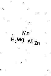 [Al].[MgH2].[Mn].[Zn]